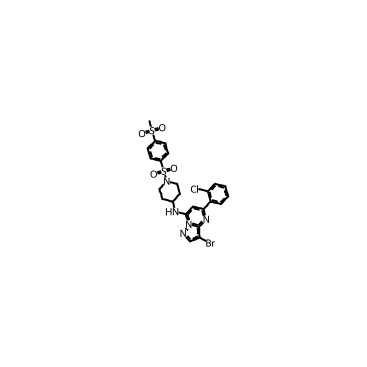 CS(=O)(=O)c1ccc(S(=O)(=O)N2CCC(Nc3cc(-c4ccccc4Cl)nc4c(Br)cnn34)CC2)cc1